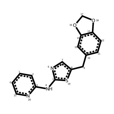 c1ccc(Nc2ncc(Cc3ccc4c(c3)OCO4)s2)nc1